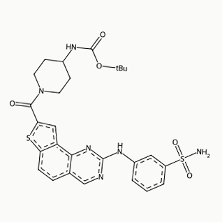 CC(C)(C)OC(=O)NC1CCN(C(=O)c2cc3c(ccc4cnc(Nc5cccc(S(N)(=O)=O)c5)nc43)s2)CC1